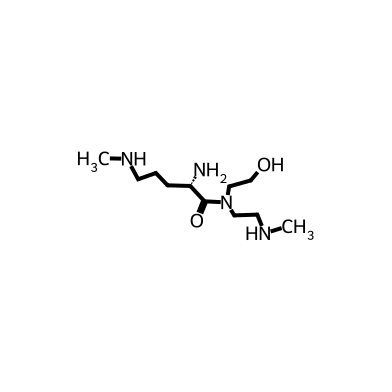 CNCCC[C@H](N)C(=O)N(CCO)CCNC